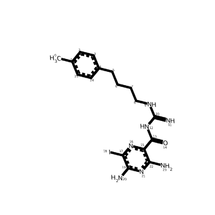 Cc1ccc(CCCCNC(=N)NC(=O)c2nc(I)c(N)nc2N)cc1